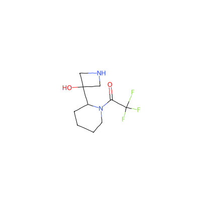 O=C(N1CCCCC1C1(O)CNC1)C(F)(F)F